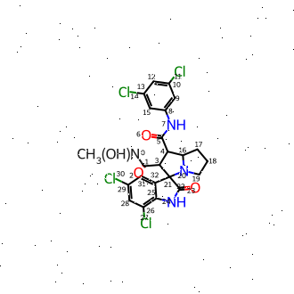 CN(O)C(=O)C1C(C(=O)Nc2cc(Cl)cc(Cl)c2)C2CCCN2C12C(=O)Nc1c(Cl)cc(Cl)cc12